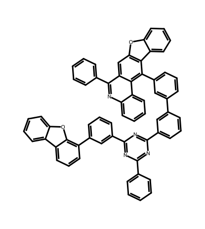 c1ccc(-c2nc(-c3cccc(-c4cccc(-c5c6c(cc7c(-c8ccccc8)nc8ccccc8c57)oc5ccccc56)c4)c3)nc(-c3cccc(-c4cccc5c4oc4ccccc45)c3)n2)cc1